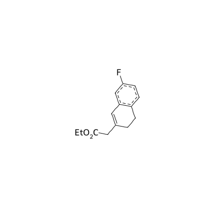 CCOC(=O)CC1=Cc2cc(F)ccc2CC1